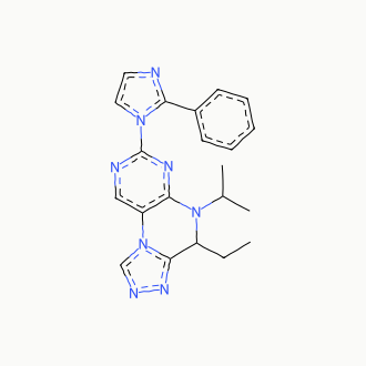 CCC1c2nncn2-c2cnc(-n3ccnc3-c3ccccc3)nc2N1C(C)C